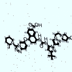 C[C@H]1CCCCN1c1nnc2ccc(O[C@@H]3CC[C@H](NC(=O)Nc4cc(C(C)(C)C)nn4-c4cnn(CCN5CC[C@H](O)C5)c4)c4ccccc43)cn12.O=CO